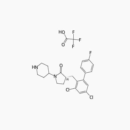 O=C(O)C(F)(F)F.O=C1[C@H](Cc2c(Cl)cc(Cl)cc2-c2ccc(F)cc2)CCN1C1CCNCC1